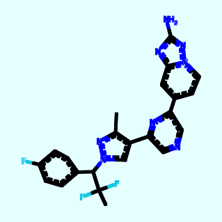 Cc1nn(C(c2ccc(F)cc2)C(C)(F)F)cc1-c1cncc(-c2ccn3nc(N)nc3c2)n1